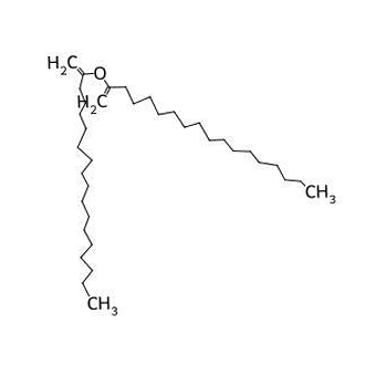 C=C(CCCCCCCCCCCCCCCC)OC(=C)CCCCCCCCCCCCCCCC